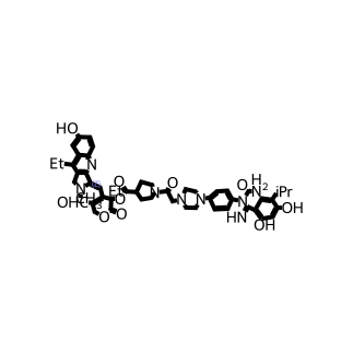 CCc1c2c(nc3ccc(O)cc13)/C(=C/C1=C(C=O)COC(=O)C1(CC)OC(=O)C1CCN(C(=O)CN3CCN(c4ccc(N(C(=N)c5cc(C(C)C)c(O)cc5O)C(N)=O)cc4)CC3)CC1)N(C)C2